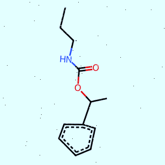 CC[CH]NC(=O)OC(C)c1ccccc1